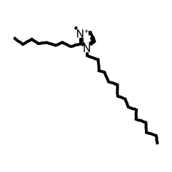 CCCCCCCCCCCCCCCn1cc[n+](C)c1CCCCCCCC